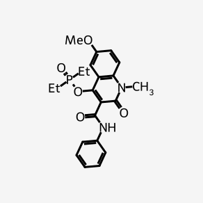 CCP(=O)(CC)Oc1c(C(=O)Nc2ccccc2)c(=O)n(C)c2ccc(OC)cc12